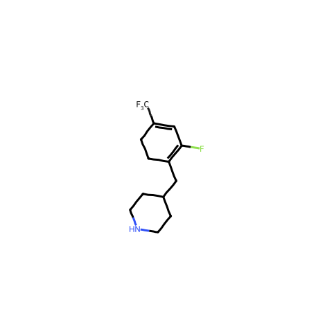 FC1=C(CC2CCNCC2)CCC(C(F)(F)F)=C1